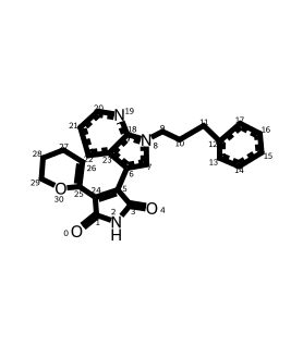 O=C1NC(=O)C(c2cn(CCCc3ccccc3)c3ncccc23)=C1C1=CCCCO1